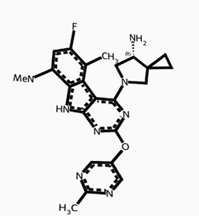 CNc1cc(F)c(C)c2c1[nH]c1nc(Oc3cnc(C)nc3)nc(N3C[C@H](N)C4(CC4)C3)c12